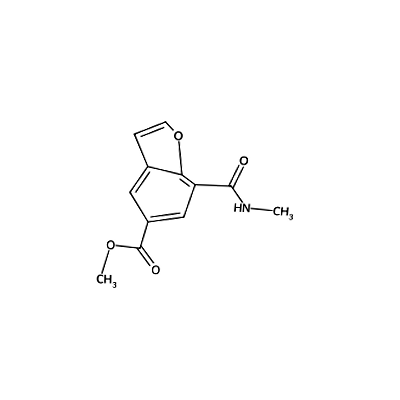 CNC(=O)c1cc(C(=O)OC)cc2ccoc12